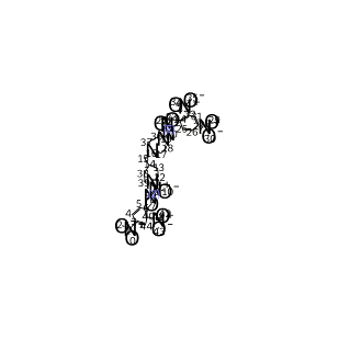 O=[N+]([O-])c1ccc(O/N=[N+](\[O-])N2CCC(CN3CCN(/N=[N+](\[O-])Oc4ccc([N+](=O)[O-])cc4[N+](=O)[O-])CC3)CC2)c([N+](=O)[O-])c1